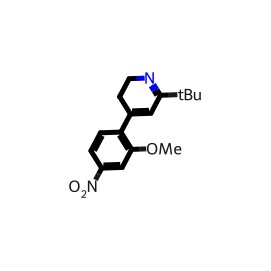 COc1cc([N+](=O)[O-])ccc1C1=CC(C(C)(C)C)=NCC1